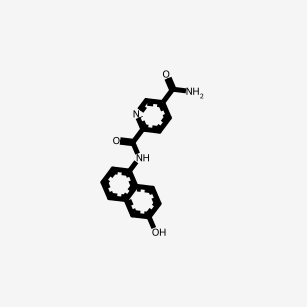 NC(=O)c1ccc(C(=O)Nc2cccc3cc(O)ccc23)nc1